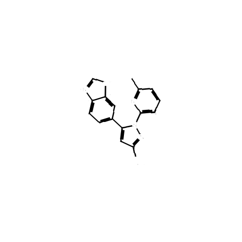 Cc1cccc(-n2nc(C(=O)O)cc2-c2ccc3ncsc3c2)n1